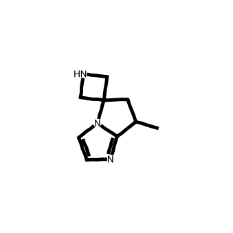 CC1CC2(CNC2)n2ccnc21